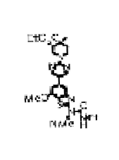 CCNC(=O)N(CNC)c1nc2cc(-c3cnc(N4CCC(C)(C(=O)OCC)CC4)nc3)cc(OC)c2s1